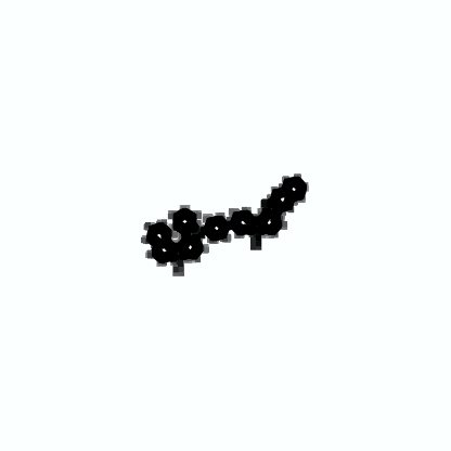 c1ccc2cc3c(cc2c1)sc1c3ccc2[nH]c3cc(-c4ccc(-n5c6ccccc6c6c7c(ccc65)[nH]c5ccc6ccccc6c57)cc4)ccc3c21